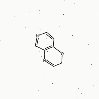 C1=CC2=C(C=[N+]1)N=CCO2